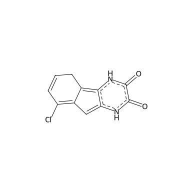 O=c1[nH]c2c([nH]c1=O)=C1CC=CC(Cl)=C1C=2